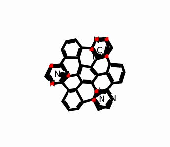 [C-]#[N+]c1c(-c2c(-c3ccccn3)cccc2-c2ccccn2)c(C#N)c(-c2c(-c3ccccn3)cccc2-c2ccccn2)c(C#N)c1-c1c(-c2ccccn2)cccc1-c1ccccn1